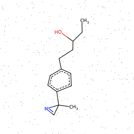 CCC(O)CCc1ccc(C2(C)C=N2)cc1